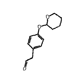 O=CCc1ccc(OC2CCCCO2)cc1